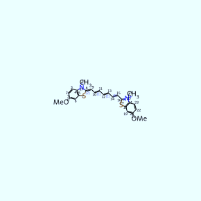 COc1ccc2c(c1)S\C(=C/C=C/C=C/C=C/c1sc3cc(OC)ccc3[n+]1C)N2C